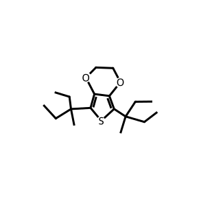 CCC(C)(CC)c1sc(C(C)(CC)CC)c2c1OCCO2